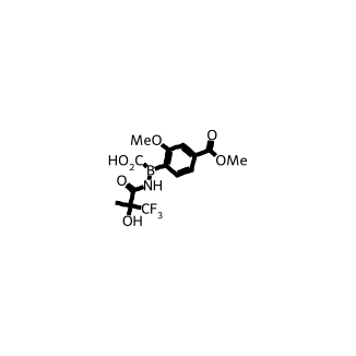 COC(=O)c1ccc(B(NC(=O)C(C)(O)C(F)(F)F)C(=O)O)c(OC)c1